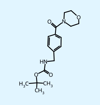 CC(C)(C)OC(=O)NCc1ccc(C(=O)N2CCOCC2)cc1